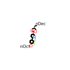 CCCCCCCCCCCC[C@H]1CO[C@H](c2ccc(-c3ccc(OCCCCCCCC)c(F)c3F)nc2)OC1